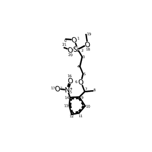 CO[Si](CCCOC(C)c1ccccc1[N+](=O)[O-])(OC)OC